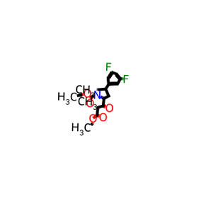 CCOC(=O)CC(=O)C1CC(c2cc(F)cc(F)c2)CN1C(=O)OC(C)(C)C